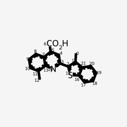 Cc1c(-c2cc(C(=O)O)c3cccc(C)c3n2)sc2ccccc12